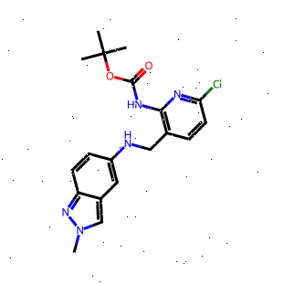 Cn1cc2cc(NCc3ccc(Cl)nc3NC(=O)OC(C)(C)C)ccc2n1